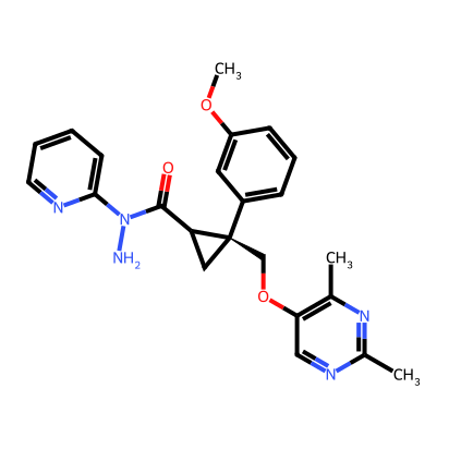 COc1cccc([C@]2(COc3cnc(C)nc3C)CC2C(=O)N(N)c2ccccn2)c1